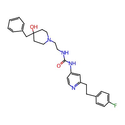 O=C(NCCN1CCC(O)(Cc2ccccc2)CC1)Nc1ccnc(CCc2ccc(F)cc2)c1